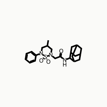 CC1CN(CC(=O)NC2C3CC4CC(C3)CC2C4)S(=O)(=O)N(c2ccccc2)C1